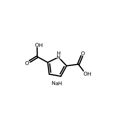 O=C(O)c1ccc(C(=O)O)[nH]1.[NaH]